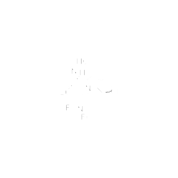 CCN(CC)CC1C[C@]2(CC)CCCN3CCc4c(n1c1ccccc41)[C@@H]32.Cl.Cl